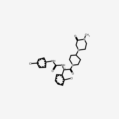 CN1CCN(C2CCN(C(=O)[C@H](NC(=O)Nc3ccc(Cl)cc3)c3ccccc3Cl)CC2)CC1=O